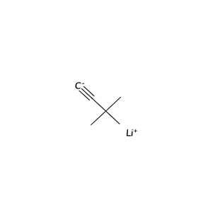 [C-]#CC(C)(C)C.[Li+]